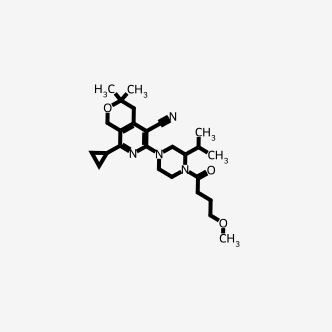 COCCCC(=O)N1CCN(c2nc(C3CC3)c3c(c2C#N)CC(C)(C)OC3)CC1C(C)C